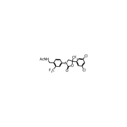 CC(=O)NCc1ccc(N2CC(c3cc(Cl)cc(Cl)c3)(C(F)(F)F)OC2=O)cc1C(F)(F)F